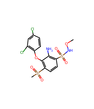 CONS(=O)(=O)c1ccc(S(C)(=O)=O)c(Oc2ccc(Cl)cc2Cl)c1N